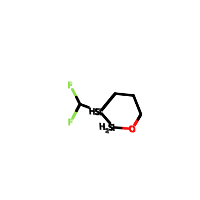 FC(F)[SiH]1CCCO[SiH2]1